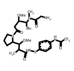 CCC(C)C(C(CC(=O)N1CCCC1C(OC)C(C)C(=O)NSc1ccc(NC(=O)C(F)(F)F)cc1)OC)N(C)C(=O)CN